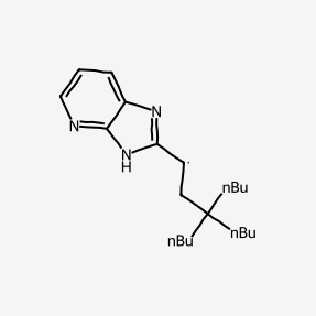 CCCCC(C[CH]c1nc2cccnc2[nH]1)(CCCC)CCCC